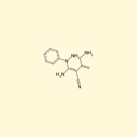 C=C(CN)/C(C#N)=C(/N)N(N)c1ccccc1